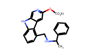 CCOC(=O)Oc1cc2c(cn1)[nH]c1cccc(CNC(C)c3ccccc3)c12